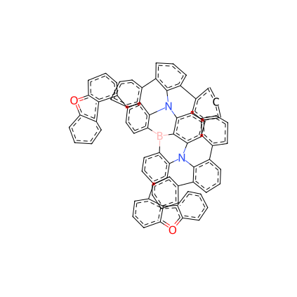 c1ccc(-c2cccc(-c3ccccc3)c2N2c3cc(-c4cccc5oc6ccccc6c45)ccc3B3c4ccc(-c5cccc6oc7ccccc7c56)cc4N(c4c(-c5ccccc5)cccc4-c4ccccc4)c4cccc2c43)cc1